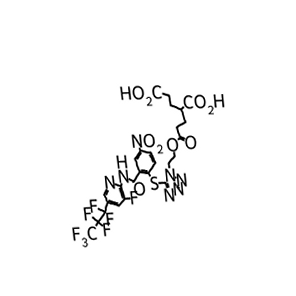 O=C(O)CCC(CCC(=O)OCCn1nnnc1Sc1ccc([N+](=O)[O-])cc1C(=O)Nc1ncc(C(F)(F)C(F)(F)C(F)(F)F)cc1F)C(=O)O